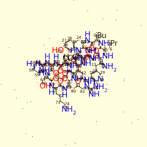 CC[C@H](C)[C@H](NC(=O)[C@H](CC(C)C)NC(=O)[C@@H](N)Cc1cccnc1)C(=O)N[C@@H](Cc1ccc(O)cc1)C(=O)N[C@@H](C)C(=O)N[C@@H](CCC(N)=O)C(=O)NCC(=O)N[C@@H](Cc1ccccc1)C(=O)N[C@@H](CO)C(=O)N[C@@H](CCCCN)C(=O)N[C@@H](CCCNC(=N)N)C(=O)N[C@@H](CCCNC(=N)N)C(=O)N[C@@H](CCCNC(=N)N)C(=O)O